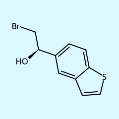 O[C@@H](CBr)c1ccc2sccc2c1